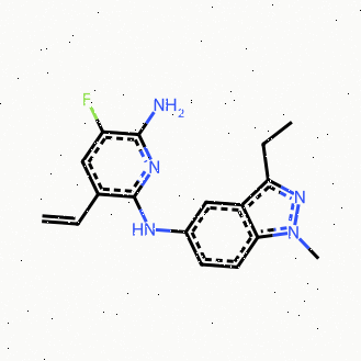 C=Cc1cc(F)c(N)nc1Nc1ccc2c(c1)c(CC)nn2C